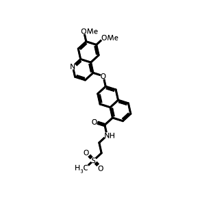 COc1cc2nccc(Oc3ccc4c(C(=O)NCCS(C)(=O)=O)cccc4c3)c2cc1OC